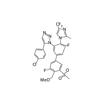 COCc1c(F)cc(-c2cc(F)c(-n3cc(C(F)(F)F)nc3C)c(-n3nncc3-c3ccc(Cl)cc3)c2)cc1S(C)(=O)=O